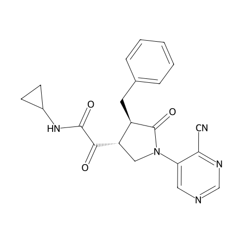 N#Cc1ncncc1N1C[C@H](C(=O)C(=O)NC2CC2)[C@@H](Cc2ccccc2)C1=O